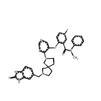 CN(C(=O)c1cc(F)ccc1Oc1cncnc1N1CCC2(CCN(Cc3ccc4[nH]c(=O)[nH]c4c3)C2)C1)c1ccccc1